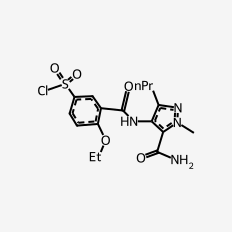 CCCc1nn(C)c(C(N)=O)c1NC(=O)c1cc(S(=O)(=O)Cl)ccc1OCC